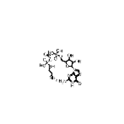 NCCNP(=O)(O)O[PH](=O)OP(=O)(O)OCC1OC(n2cnc3c(=O)[nH]c(N)nc32)C(O)C1O